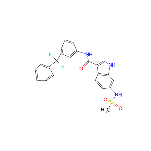 CS(=O)(=O)Nc1ccc2c(C(=O)Nc3cccc(C(F)(F)c4ccccc4)c3)c[nH]c2c1